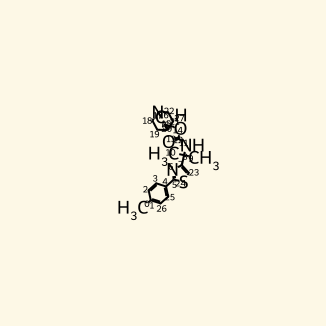 Cc1ccc(-c2nc(C(C)(C)NC(=O)O[C@@H]3CN4CCC3CC4)cs2)cc1